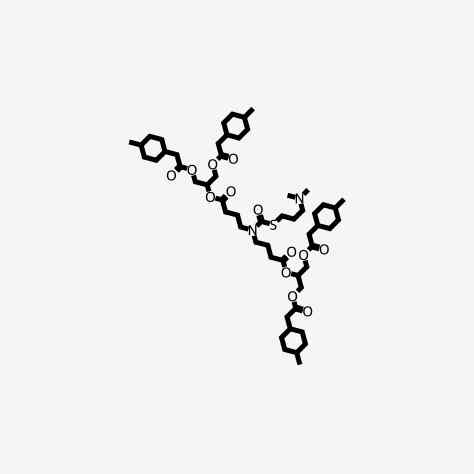 CC1CCC(CC(=O)OCC(COC(=O)CC2CCC(C)CC2)OC(=O)CCCN(CCCC(=O)OC(COC(=O)CC2CCC(C)CC2)COC(=O)CC2CCC(C)CC2)C(=O)SCCCN(C)C)CC1